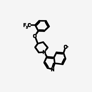 [O]c1ccc2nccc(N3CCC(Oc4ccccc4C(F)(F)F)CC3)c2c1